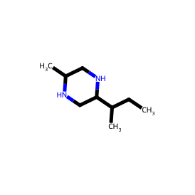 CCC(C)C1CNC(C)CN1